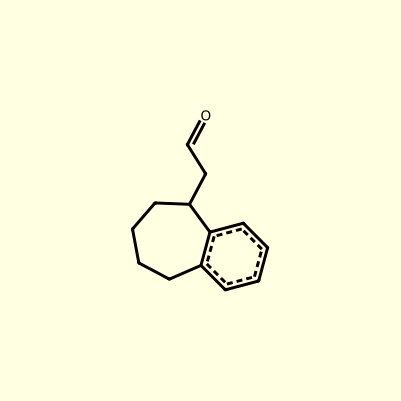 O=CCC1CCCCc2ccccc21